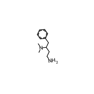 CN(C)C(CCN)Cc1ccccc1